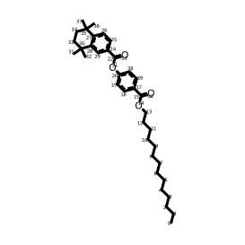 CCCCCCCCCCCCCCOC(=O)c1ccc(OC(=O)c2ccc3c(c2)C(C)(C)CCC3(C)C)cc1